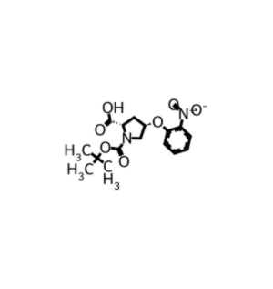 CC(C)(C)OC(=O)N1C[C@@H](Oc2ccccc2[N+](=O)[O-])C[C@H]1C(=O)O